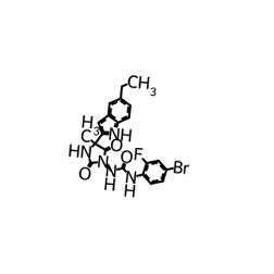 CCc1ccc2[nH]c(C3(C)NC(=O)N(NC(=O)Nc4ccc(Br)cc4F)C3=O)cc2c1